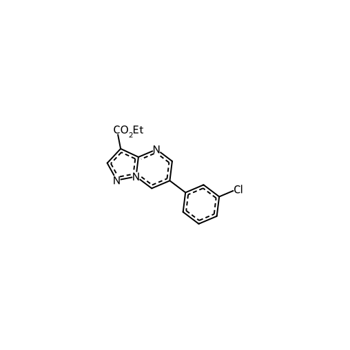 CCOC(=O)c1cnn2cc(-c3cccc(Cl)c3)cnc12